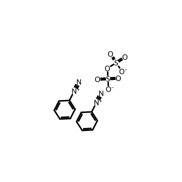 N#[N+]c1ccccc1.N#[N+]c1ccccc1.O=S(=O)([O-])OS(=O)(=O)[O-]